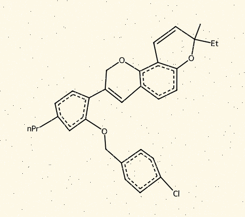 CCCc1ccc(C2=Cc3ccc4c(c3OC2)C=CC(C)(CC)O4)c(OCc2ccc(Cl)cc2)c1